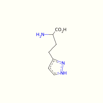 NC(CCc1cc[nH]n1)C(=O)O